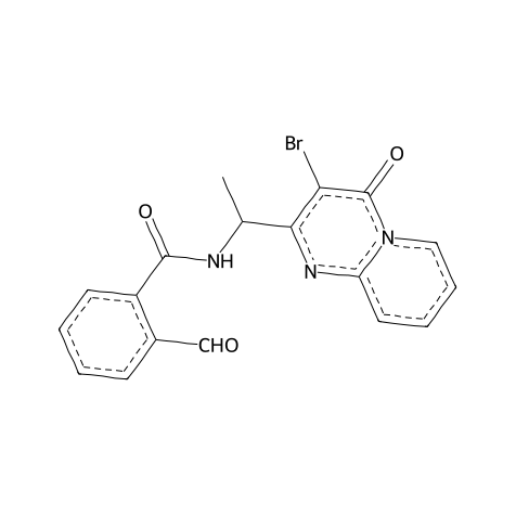 CC(NC(=O)c1ccccc1C=O)c1nc2ccccn2c(=O)c1Br